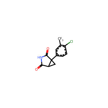 O=C1NC(=O)C2(c3ccc(Cl)c(C(F)(F)F)c3)CC12